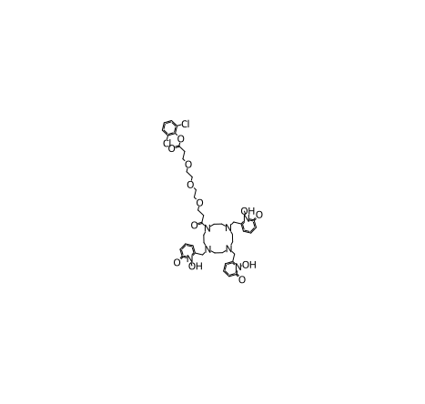 O=C(CCOCCOCCOCCC(=O)N1CCN(Cc2cccc(=O)n2O)CCN(Cc2cccc(=O)n2O)CCN(Cc2cccc(=O)n2O)CC1)Oc1c(Cl)cccc1Cl